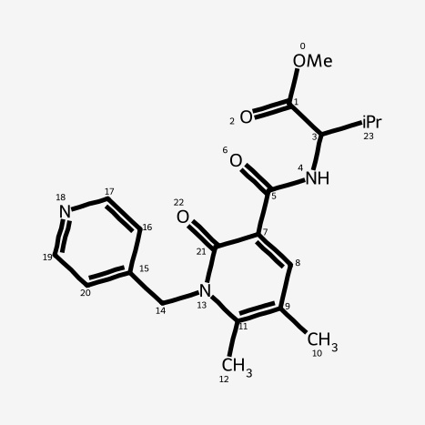 COC(=O)C(NC(=O)c1cc(C)c(C)n(Cc2ccncc2)c1=O)C(C)C